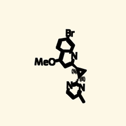 COc1cc([C@H]2C[C@@H]2c2nccc(C)n2)nc2cc(Br)ccc12